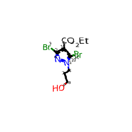 CCOC(=O)c1c(Br)nn(CCCO)c1Br